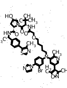 Cc1ncc(-c2c(C)noc2C)cc1N(CCCCCOCC(=O)N[C@H](C(=O)N1C[C@H](O)C[C@H]1C(=O)N[C@@H](C)c1ccc(-c2scnc2C)cc1)C(C)(C)C)c1ccc(-n2ccnc2)c(Br)c1